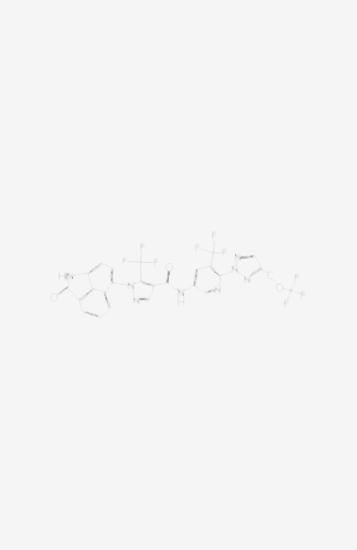 O=C(Nc1cnc(-n2ncc(COC(F)(F)F)n2)c(C(F)(F)F)c1)c1cnn(-c2ccc3c4c(cccc24)C(=O)N3)c1C(F)(F)F